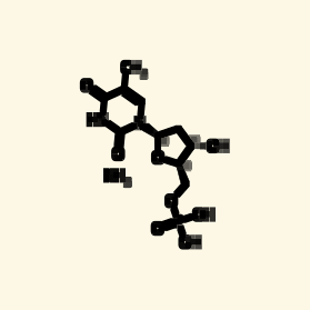 Cc1cn([C@H]2C[C@H](O)[C@@H](COP(=O)(O)O)O2)c(=O)[nH]c1=O.N